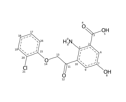 Nc1c(C(=O)O)cc(O)cc1C(=O)COc1ccccc1Cl